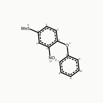 CSc1ccc(Oc2ccccc2)c([N+](=O)[O-])c1